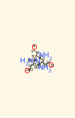 CC(N)(CCC=O)N(C(C)(N)CCC=O)C(C)(N)CCC=O